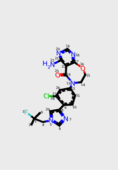 CC(C)(F)Cn1cnc(-c2ccc(N3CCOc4ncnc(N)c4C3=O)cc2Cl)c1